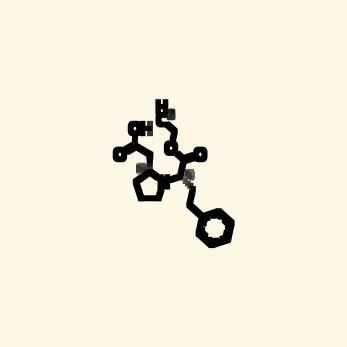 CCOC(=O)[C@H](CCc1ccccc1)N1CCC[C@H]1CC(=O)O